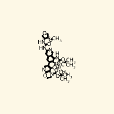 CO[C@@H]1COC[C@@H]1NC(=O)Nc1cc2cc(-c3cnc4c(c3C)N(C(=O)OC(C)(C)C)CCO4)c(F)c(NC(=O)OC(C)(C)C)c2cn1